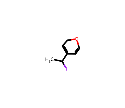 CC(I)C1=CCOC=C1